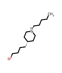 CCCCC[Si@H]1CC[C@H](CCCCBr)CC1